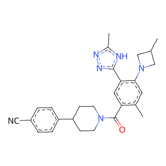 Cc1nnc(-c2cc(C(=O)N3CCC(c4ccc(C#N)cc4)CC3)c(C)cc2N2CC(C)C2)[nH]1